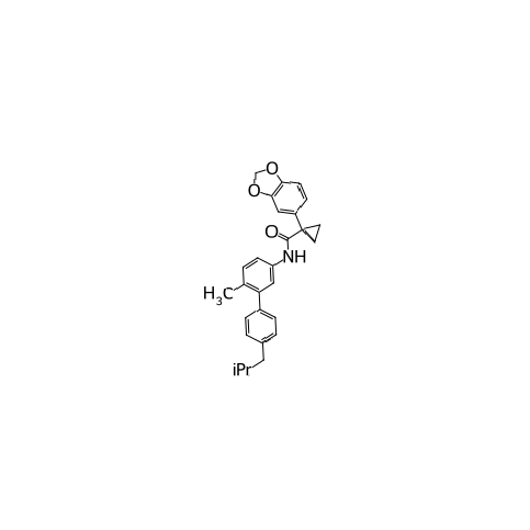 Cc1ccc(NC(=O)C2(c3ccc4c(c3)OCO4)CC2)cc1-c1ccc(CC(C)C)cc1